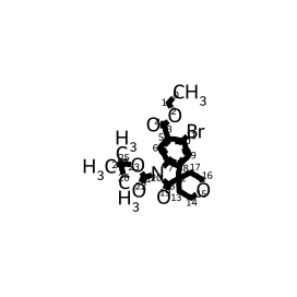 CCOC(=O)c1cc2c(cc1Br)C1(CCOCC1)C(=O)N2C(=O)OC(C)(C)C